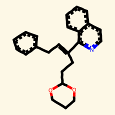 C(Cc1ccccc1)=C(CCC1OCCCO1)c1nccc2ccccc12